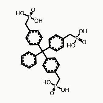 O=P(O)(O)Cc1ccc(C(c2cc[c]cc2)(c2ccc(CP(=O)(O)O)cc2)c2ccc(CP(=O)(O)O)cc2)cc1